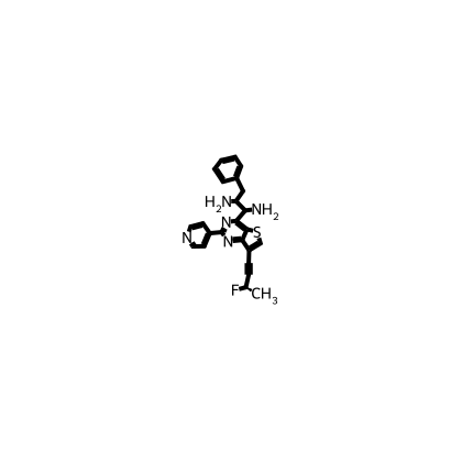 C[C@@H](F)C#Cc1csc2c(C(N)C(N)Cc3ccccc3)nc(-c3ccncc3)nc12